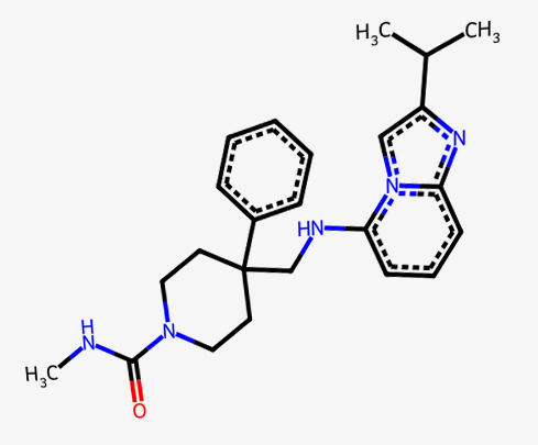 CNC(=O)N1CCC(CNc2cccc3nc(C(C)C)cn23)(c2ccccc2)CC1